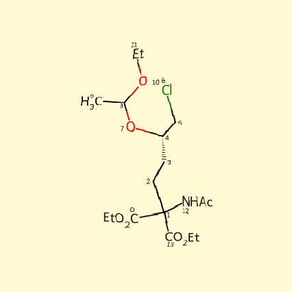 CCOC(=O)C(CC[C@@H](CCl)OC(C)OCC)(NC(C)=O)C(=O)OCC